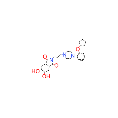 O=C1C2CC(O)C(O)CC2C(=O)N1CCCN1CCN(c2ccccc2OC2CCCC2)CC1